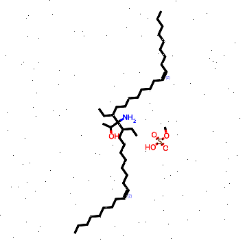 CCCCCCCC/C=C\CCCCCCCC(CC)C(N)(C(C)O)C(CC)CCCCCCC/C=C\CCCCCCCC.COS(=O)(=O)O